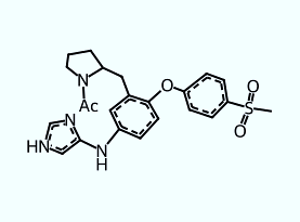 CC(=O)N1CCCC1Cc1cc(Nc2c[nH]cn2)ccc1Oc1ccc(S(C)(=O)=O)cc1